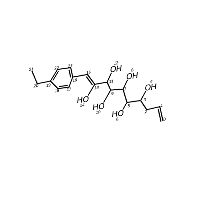 C=CCC(O)C(O)C(O)C(O)C(O)C(O)=Cc1ccc(CC)cc1